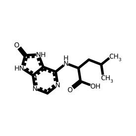 CC(C)CC(Nc1ncnc2[nH]c(=O)[nH]c12)C(=O)O